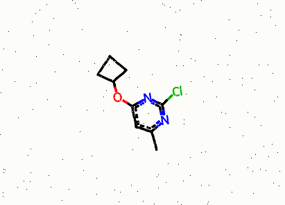 Cc1cc(OC2CCC2)nc(Cl)n1